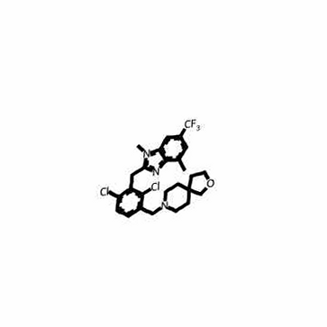 Cc1cc(C(F)(F)F)cc2c1nc(Cc1c(Cl)ccc(CN3CCC4(CCOC4)CC3)c1Cl)n2C